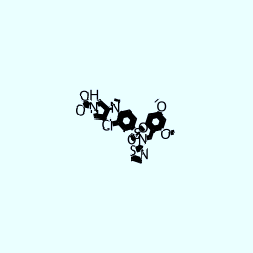 COc1ccc(CN(c2nccs2)S(=O)(=O)c2ccc(N(C)[C@H]3CCN(C(=O)O)C3)c(Cl)c2)c(OC)c1